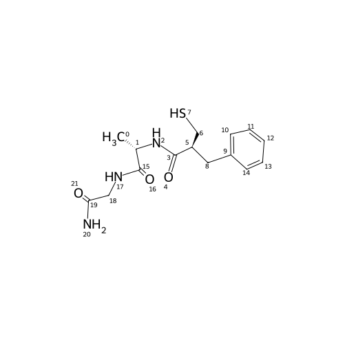 C[C@H](NC(=O)[C@@H](CS)Cc1ccccc1)C(=O)NCC(N)=O